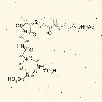 CC(=O)NCCCCCNC(=O)CCSC1CC(=O)N(CCNC(=O)CN2CCN(CC(=O)O)CCN(CC(=O)O)CC2)C1=O